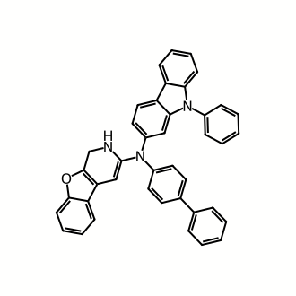 C1=C(N(c2ccc(-c3ccccc3)cc2)c2ccc3c4ccccc4n(-c4ccccc4)c3c2)NCc2oc3ccccc3c21